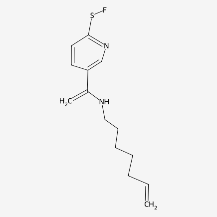 C=CCCCCCNC(=C)c1ccc(SF)nc1